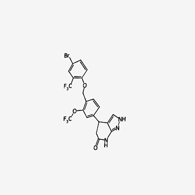 O=C1CC(c2ccc(COc3ccc(Br)cc3C(F)(F)F)c(OC(F)(F)F)c2)c2c[nH]nc2N1